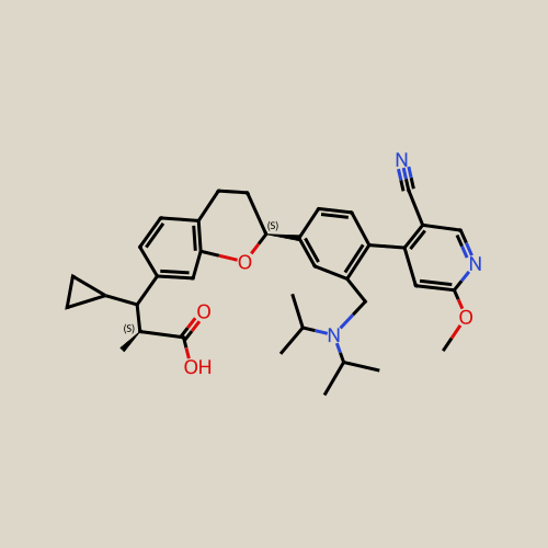 COc1cc(-c2ccc([C@@H]3CCc4ccc(C(C5CC5)[C@H](C)C(=O)O)cc4O3)cc2CN(C(C)C)C(C)C)c(C#N)cn1